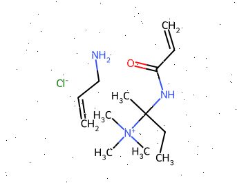 C=CC(=O)NC(C)(CC)[N+](C)(C)C.C=CCN.[Cl-]